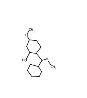 COC1CCC(C(OC)C2CCCCC2)C(O)C1